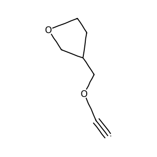 [C]#COCC1CCOC1